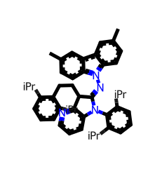 Cc1ccc2c(c1)c1cc(C)ccc1n2N=C1C(CCc2c(C(C)C)cccc2C(C)C)c2ncccc2N1c1c(C(C)C)cccc1C(C)C